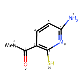 CNC(=O)c1ccc(N)nc1S